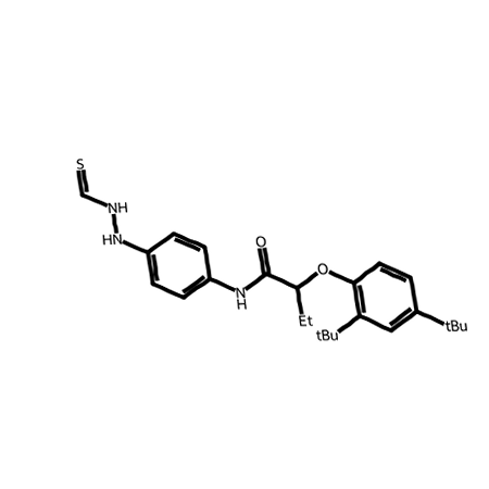 CCC(Oc1ccc(C(C)(C)C)cc1C(C)(C)C)C(=O)Nc1ccc(NNC=S)cc1